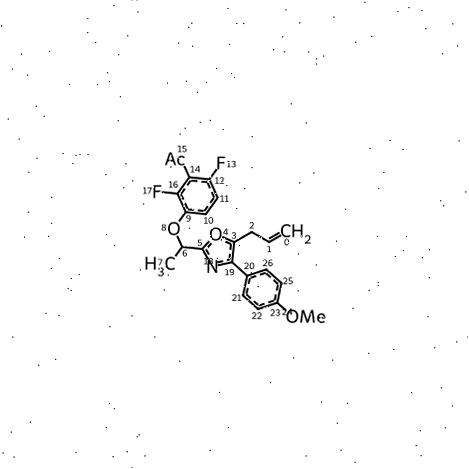 C=CCc1oc(C(C)Oc2ccc(F)c(C(C)=O)c2F)nc1-c1ccc(OC)cc1